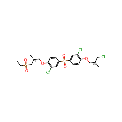 CCS(=O)(=O)C[C@@H](C)COc1ccc(S(=O)(=O)c2ccc(OC[C@H](C)CCl)c(Cl)c2)cc1Cl